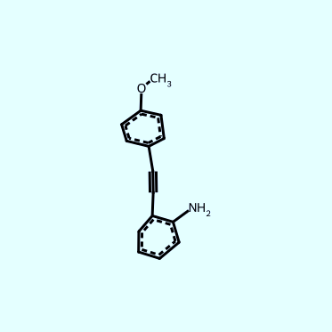 COc1ccc(C#Cc2ccccc2N)cc1